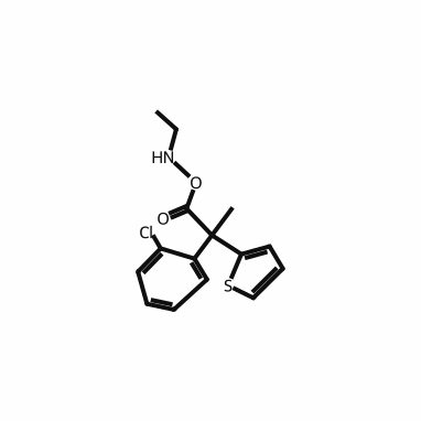 CCNOC(=O)C(C)(c1cccs1)c1ccccc1Cl